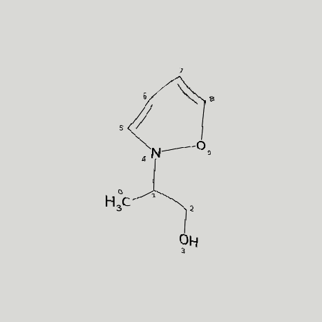 CC(CO)N1C=CC=CO1